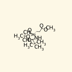 COC(=O)CC[C@H](NC(=O)C(C)(C)C)C(=O)OC(C)(C)C